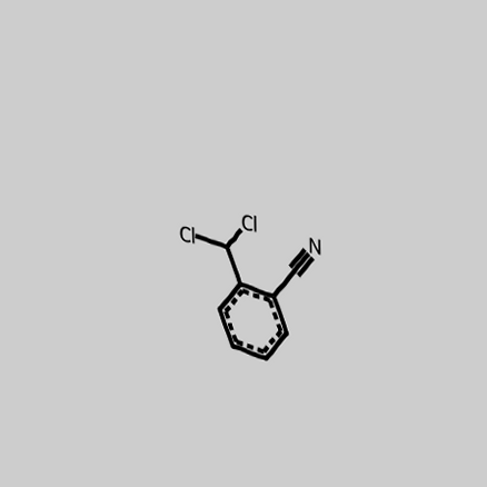 N#Cc1ccccc1C(Cl)Cl